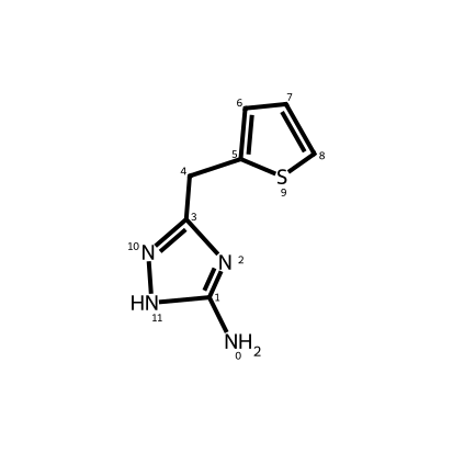 Nc1nc(Cc2cccs2)n[nH]1